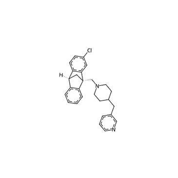 Clc1ccc2c(c1)[C@]1(CN3CCC(Cc4cccnc4)CC3)C[C@H]2c2ccccc21